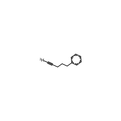 [2H]C#CCCCc1ccccc1